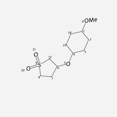 COC1CCC(OC2CCS(=O)(=O)C2)CC1